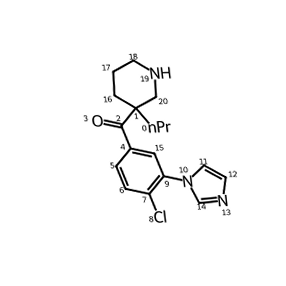 CCCC1(C(=O)c2ccc(Cl)c(-n3ccnc3)c2)CCCNC1